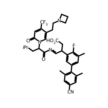 Cc1cc(-c2c(C)cc(C#N)cc2C)cc(C(/C=N/C(=O)C(CC(C)C)n2cc(CCN3CCC3)c(C(F)(F)F)cc2=O)CC(=O)O)c1F